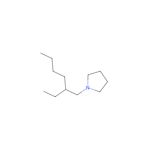 CCCCC(CC)CN1CCCC1